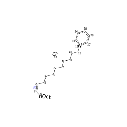 CCCCCCCC/C=C\CCCCCCCCC[n+]1ccccc1.[Cl-]